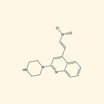 O=[N+]([O-])C=Cc1cc(N2CCNCC2)nc2ccccc12